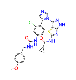 COc1ccc(CNC(=O)Nc2ccc(-c3cncn3-c3n[nH]c4nc(NC(=O)C5CC5)sc34)c(Cl)c2)cc1